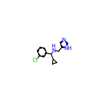 Clc1cccc(C(NCc2cnc[nH]2)C2CC2)c1